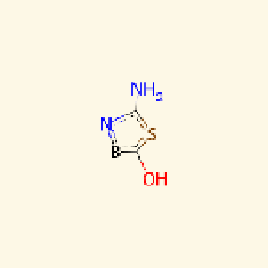 Nc1nbc(O)s1